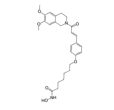 COc1cc2c(cc1OC)CN(C(=O)C=Cc1ccc(OCCCCCCC(=O)NO)cc1)CC2